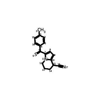 Cc1ccc(C(=S)c2ccc3n2CCCC3C#N)cc1